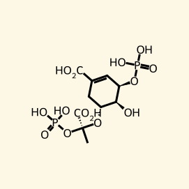 C[C@](O[C@@H]1CC(C(=O)O)=C[C@@H](OP(=O)(O)O)[C@H]1O)(OP(=O)(O)O)C(=O)O